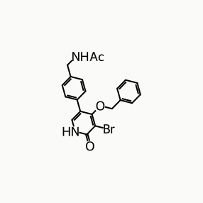 CC(=O)NCc1ccc(-c2c[nH]c(=O)c(Br)c2OCc2ccccc2)cc1